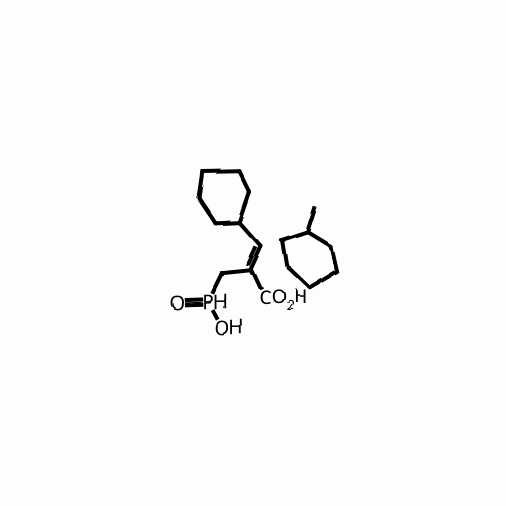 CC1CCCCC1.O=C(O)C(=CC1CCCCC1)C[PH](=O)O